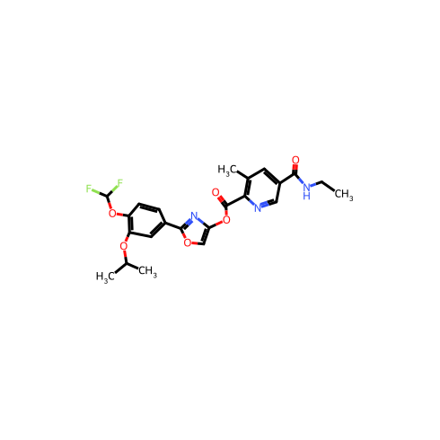 CCNC(=O)c1cnc(C(=O)Oc2coc(-c3ccc(OC(F)F)c(OC(C)C)c3)n2)c(C)c1